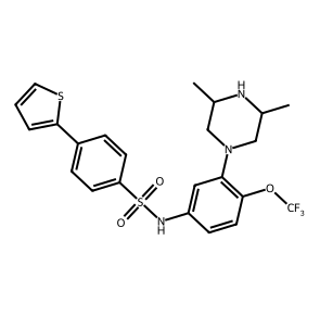 CC1CN(c2cc(NS(=O)(=O)c3ccc(-c4cccs4)cc3)ccc2OC(F)(F)F)CC(C)N1